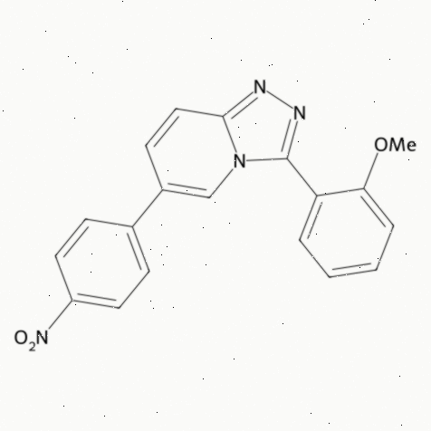 COc1ccccc1-c1nnc2ccc(-c3ccc([N+](=O)[O-])cc3)cn12